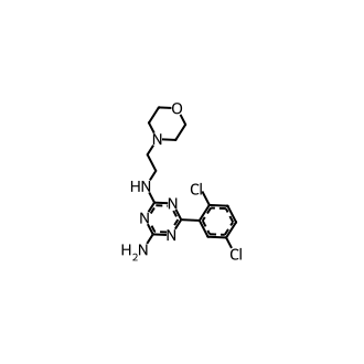 Nc1nc(NCCN2CCOCC2)nc(-c2cc(Cl)ccc2Cl)n1